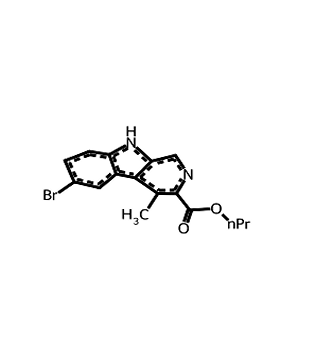 CCCOC(=O)c1ncc2[nH]c3ccc(Br)cc3c2c1C